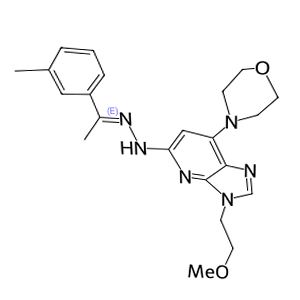 COCCn1cnc2c(N3CCOCC3)cc(N/N=C(\C)c3cccc(C)c3)nc21